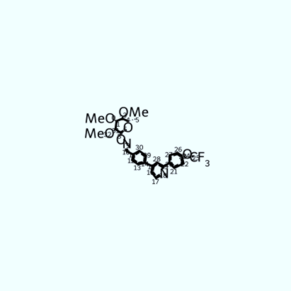 CO[C@@H]1[C@@H](OC)[C@H](C)O[C@@H](ON=Cc2ccc(-c3ccnc(-c4ccc(OC(F)(F)F)cc4)c3)cc2)[C@@H]1OC